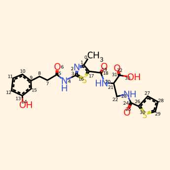 Cc1nc(NC(=O)CCc2cccc(O)c2)sc1C(=O)NC(CNC(=O)c1cccs1)C(=O)O